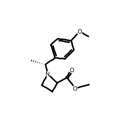 COC(=O)C1CCN1[C@H](C)c1ccc(OC)cc1